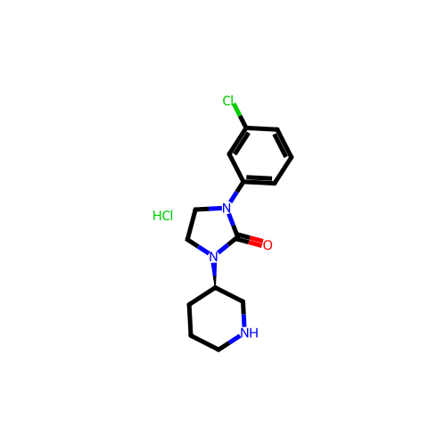 Cl.O=C1N(c2cccc(Cl)c2)CCN1[C@@H]1CCCNC1